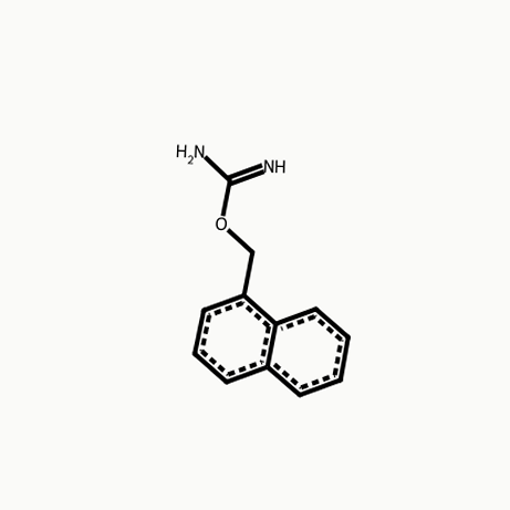 N=C(N)OCc1cccc2ccccc12